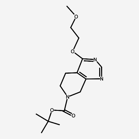 COCCOc1ncnc2c1CCN(C(=O)OC(C)(C)C)C2